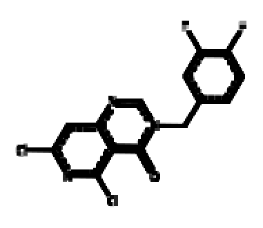 O=c1c2c(Cl)nc(Cl)cc2ncn1Cc1ccc(F)c(F)c1